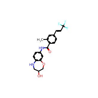 Cc1cc(C=CC(F)(F)F)ccc1C(=O)Nc1ccc2c(c1)OCC(O)CN2